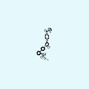 CC(=O)Nc1ccccc1-c1ccc(N2CC(N3CCN(C(=O)c4nccs4)CC3)CC2=O)cc1